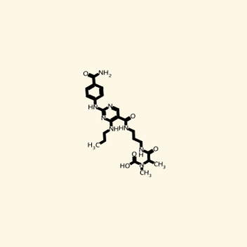 CCCNc1nc(Nc2ccc(C(N)=O)cc2)ncc1C(=O)NCCCNC(=O)C(C)N(C)C(=O)O